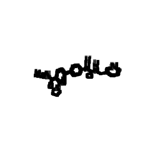 CNC(=O)c1ccc(-c2ccc(NC(=O)NCc3cccnc3)cc2)nc1N1CCCC1